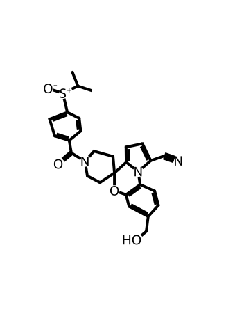 CC(C)[S+]([O-])c1ccc(C(=O)N2CCC3(CC2)Oc2cc(CO)ccc2-n2c(C#N)ccc23)cc1